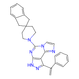 C=C(c1ccccc1)c1n[nH]c2nc(N3CCC4(CC3)Cc3ccccc3C4)n3ccnc3c12